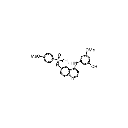 COc1ccc(S(C)(=O)=Nc2ccc3nccc(Nc4cc(O)cc(OC)c4)c3c2)cc1